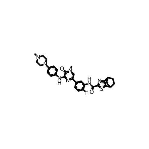 CN1CCN(c2ccc(Nc3nc(-c4ccc(F)c(NC(=O)c5nc6c(s5)C5CCC6CC5)c4)cn(C)c3=O)cc2)CC1